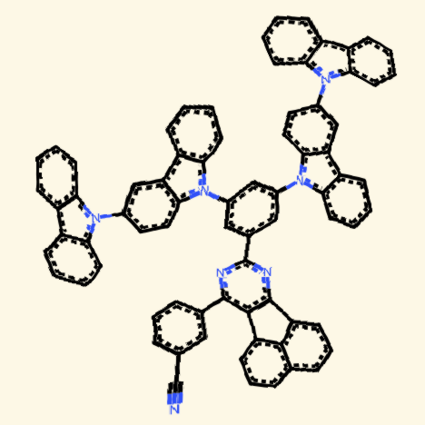 N#Cc1cccc(-c2nc(-c3cc(-n4c5ccccc5c5cc(-n6c7ccccc7c7ccccc76)ccc54)cc(-n4c5ccccc5c5cc(-n6c7ccccc7c7ccccc76)ccc54)c3)nc3c2-c2cccc4cccc-3c24)c1